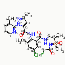 Cc1cccnc1-n1nc(C(F)(F)F)cc1C(=O)Nc1c(C)cc(Cl)cc1C(=O)NCC(C)S(C)(=O)=NC(=O)CF